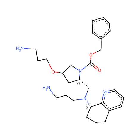 NCCCOC1C[C@@H](CN(CCCN)[C@H]2CCCc3cccnc32)N(C(=O)OCc2ccccc2)C1